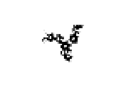 Cc1nnc(-c2ccc(Oc3cc(-c4nc(C5CC(=O)N(C)C5)no4)ccc3CN3CCCC3=O)cc2)s1